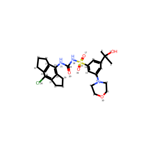 CC(C)(O)c1cc(N2CCOCC2)cc(S(=O)(=O)NC(=O)Nc2c3c(c(Cl)c4c2CCC4)CCC3)c1